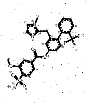 COc1cc(C(=O)Nc2ccc(-c3ccccc3C(F)(F)F)c(Cc3nccn3C)c2)ccc1S(N)(=O)=O